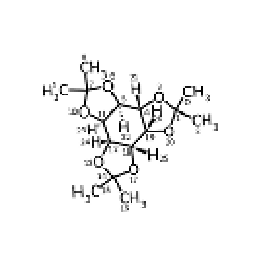 CC1(C)O[C@H]2[C@@H]3OC(C)(C)O[C@@H]3[C@H]3OC(C)(C)O[C@H]3[C@H]2O1